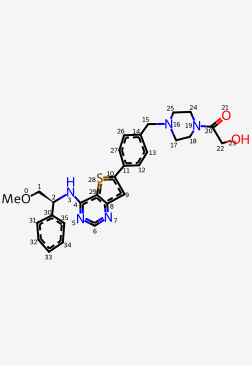 COC[C@@H](Nc1ncnc2cc(-c3ccc(CN4CCN(C(=O)CO)CC4)cc3)sc12)c1ccccc1